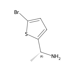 C[C@@H](N)c1ccc(Br)s1